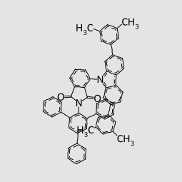 Cc1cc(C)cc(-c2ccc3c4ccc(-c5cc(C)cc(C)c5)cc4n(-c4cccc5c4C(=O)N(c4c(-c6ccccc6)cc(-c6ccccc6)cc4-c4ccccc4)C5=O)c3c2)c1